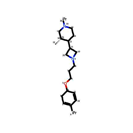 CC(C)C1=CCC(OCCCN2CC(C3CCN(C(C)C)C[C@H]3C)C2)C=C1